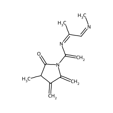 C=C1C(=C)N(C(=C)/N=C(C)\C=N/C)C(=O)C1C